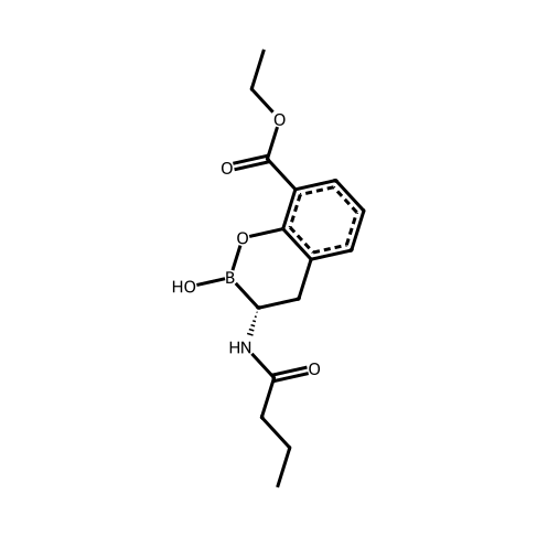 CCCC(=O)N[C@H]1Cc2cccc(C(=O)OCC)c2OB1O